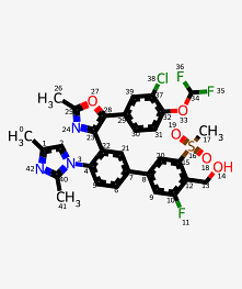 Cc1cn(-c2ccc(-c3cc(F)c(CO)c(S(C)(=O)=O)c3)cc2-c2nc(C)oc2-c2ccc(OC(F)F)c(Cl)c2)c(C)n1